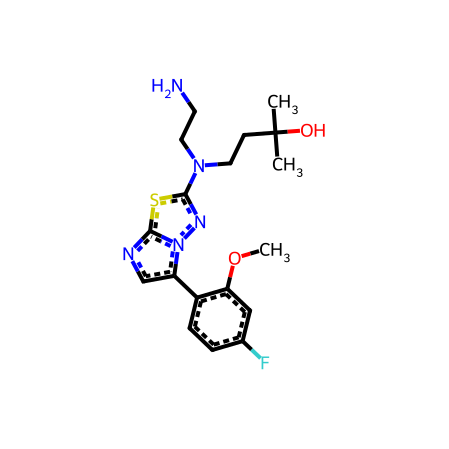 COc1cc(F)ccc1-c1cnc2sc(N(CCN)CCC(C)(C)O)nn12